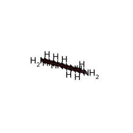 NCCCCCCNCCCCCCNCCCCCCNCCCCCCNCCCCCCNCCCCCCNCCCCCCNCCCCCCNCCCCCCNCCCCCCN